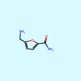 NCc1ccc(C(N)=O)o1